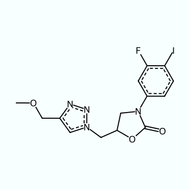 COCc1cn(CC2CN(c3ccc(I)c(F)c3)C(=O)O2)nn1